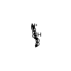 Cc1ccc(OCCCOc2ccc3c(c2)CC[C@H]3CC(=O)NCCOCCOCCN=[N+]=[N-])cc1